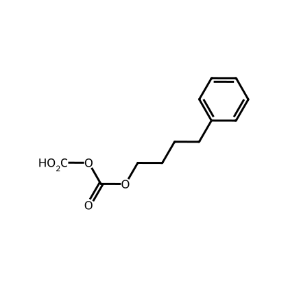 O=C(O)OC(=O)OCCCCc1ccccc1